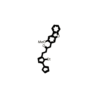 CCC1C(CCC(=O)Cc2cc3oc4ccccc4c3cc2OC)=CC=C1C1=CC=CC1